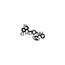 COc1ccc2nccc(CCC3(O)CCC(NC(C4=CC=CCC4)C4=COC=CO4)CC3)c2c1